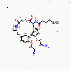 CCCCCCCCCCCCCC(=O)N(C)C1C(=O)N[C@@H](C)C(=O)NC(C)Cc2ccc(OCCN)c(c2)-c2cc1ccc2OCCN